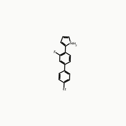 CCc1ccc(-c2ccc(C3=CC=C[SeH2]3)c(F)c2)cc1